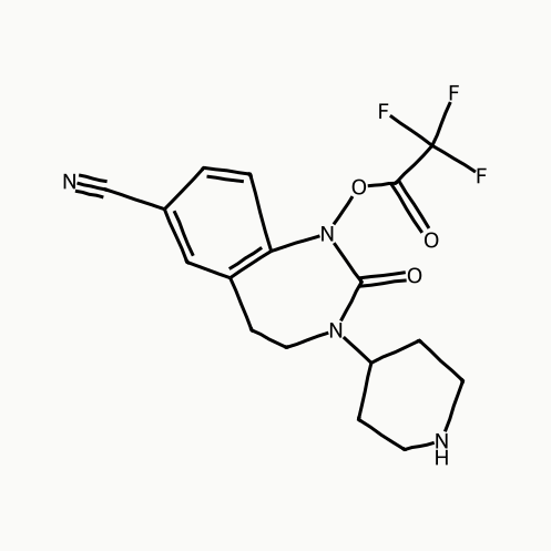 N#Cc1ccc2c(c1)CCN(C1CCNCC1)C(=O)N2OC(=O)C(F)(F)F